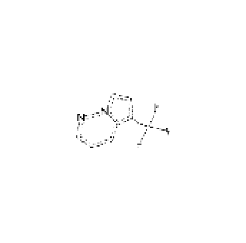 FC(F)(F)c1ccn2ncccc12